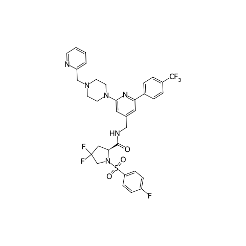 O=C(NCc1cc(-c2ccc(C(F)(F)F)cc2)nc(N2CCN(Cc3ccccn3)CC2)c1)[C@@H]1CC(F)(F)CN1S(=O)(=O)c1ccc(F)cc1